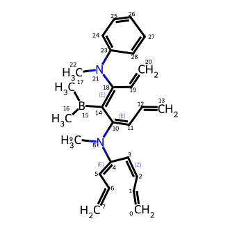 C=C/C=C\C(=C/C=C)N(C)C(=C/C=C)/C(B(C)C)=C(\C=C)N(C)c1ccccc1